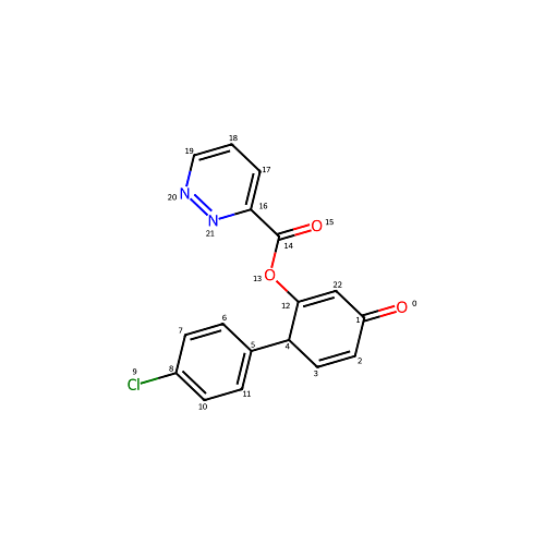 O=C1C=CC(c2ccc(Cl)cc2)C(OC(=O)c2cccnn2)=C1